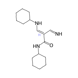 N=C/C(=C\NC1CCCCC1)C(=O)NC1CCCCC1